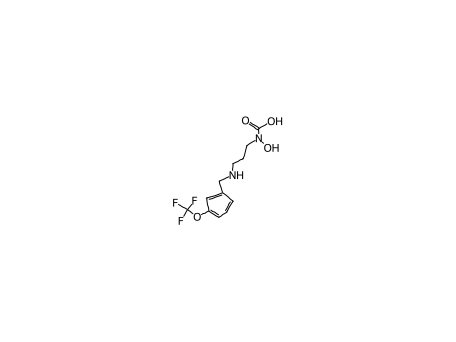 O=C(O)N(O)CCCNCc1cccc(OC(F)(F)F)c1